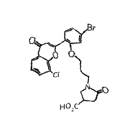 O=C(O)C1CC(=O)N(CCCOc2cc(Br)ccc2-c2cc(=O)c3cccc(Cl)c3o2)C1